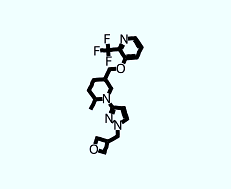 CC1CCC(COc2cccnc2C(F)(F)F)CN1c1ccn(CC2COC2)n1